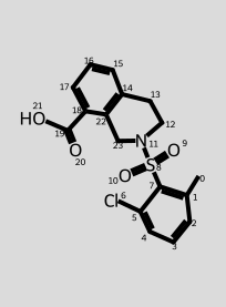 Cc1cccc(Cl)c1S(=O)(=O)N1CCc2cccc(C(=O)O)c2C1